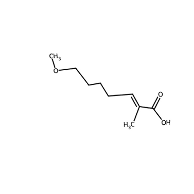 COCCCC/C=C(\C)C(=O)O